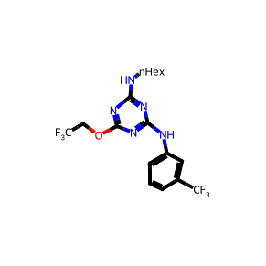 CCCCCCNc1nc(Nc2cccc(C(F)(F)F)c2)nc(OCC(F)(F)F)n1